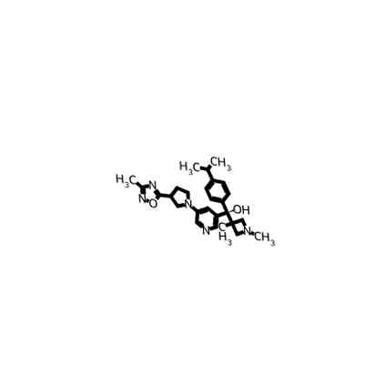 Cc1noc(C2CCN(c3cncc([C@@](O)(c4ccc(C(C)C)cc4)C4(C)CN(C)C4)c3)C2)n1